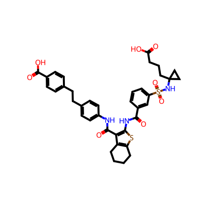 O=C(O)CCCC1(NS(=O)(=O)c2cccc(C(=O)Nc3sc4c(c3C(=O)Nc3ccc(CCc5ccc(C(=O)O)cc5)cc3)CCCC4)c2)CC1